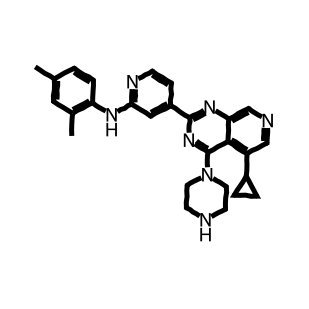 Cc1ccc(Nc2cc(-c3nc(N4CCNCC4)c4c(C5CC5)cncc4n3)ccn2)c(C)c1